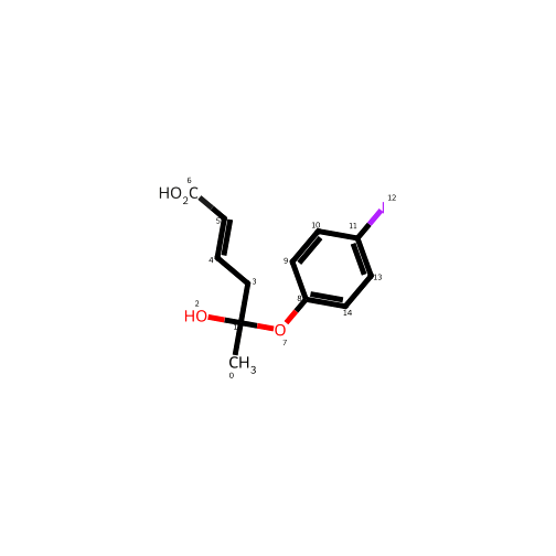 CC(O)(CC=CC(=O)O)Oc1ccc(I)cc1